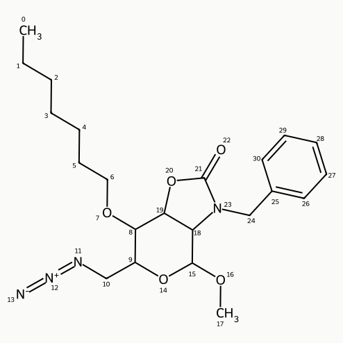 CCCCCCCOC1C(CN=[N+]=[N-])OC(OC)C2C1OC(=O)N2Cc1ccccc1